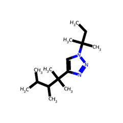 CCC(C)(C)n1cc(C(C)(C)C(C)C(C)C)nn1